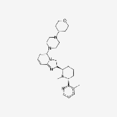 Cc1cccnc1[C@@H]1CCC[C@H](C2CN3C(N4CCN(C5CCOCC5)CC4)=CC=CC3=N2)N1C